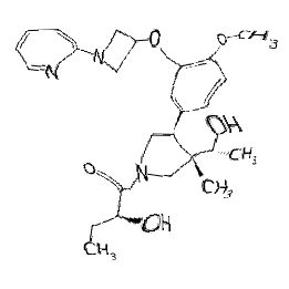 CC[C@H](O)C(=O)N1C[C@@H](c2ccc(OC)c(OC3CN(c4ccccn4)C3)c2)[C@](C)([C@@H](C)O)C1